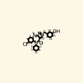 CN1c2ccc(Cl)cc2N(c2ccccc2)C(=O)c2cn(Cc3cccc(O)c3)nc21